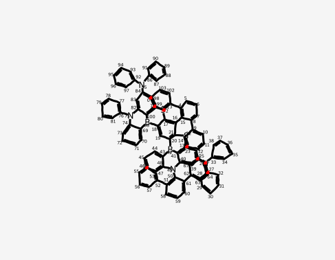 c1ccc(-c2cccc(-c3ccccc3)c2-c2c3c(cc4c2Sc2cc(N(c5ccccc5)c5ccccc5)cc5c2B4c2ccccc2N5c2c(-c4ccccc4)cccc2-c2ccccc2)B2c4ccccc4N(c4ccccc4)c4cc(N(c5ccccc5)c5ccccc5)cc(c42)S3)cc1